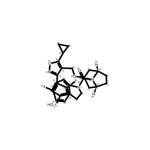 O=C(O)c1cccc2c1CCN2C(=O)N1[C@@H]2CC[C@H]1CC(OCc1c(-c3c(F)cccc3F)noc1C1CC1)C2